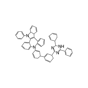 C1=CCC(C2N=C(C3C=C(C4C=C(N5c6ccccc6C6=C(c7ccccc75)N(c5ccccc5)C5C=CC=CC65)C=CC4)C=CC3)N=C(c3ccccc3)N2)C=C1